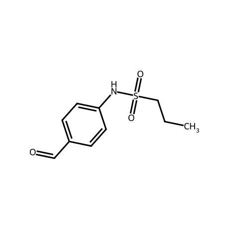 CCCS(=O)(=O)Nc1ccc(C=O)cc1